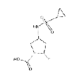 C[C@H]1CC(NS(=O)(=O)C2CC2)C[C@H]1C(=O)O